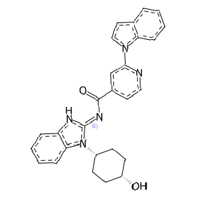 O=C(/N=c1\[nH]c2ccccc2n1[C@H]1CC[C@@H](O)CC1)c1ccnc(-n2ccc3ccccc32)c1